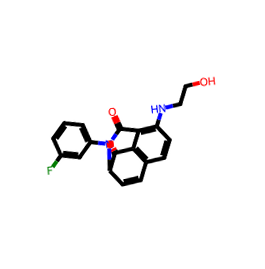 O=C1c2c3ccc(NCCO)c2C(=O)N(c2cccc(F)c2)C1C=C3